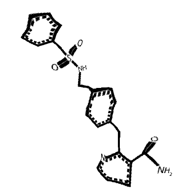 NC(=O)c1cccnc1Cc1ccc(CNS(=O)(=O)c2ccccc2)cc1